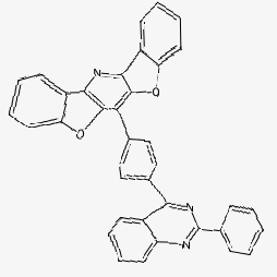 c1ccc(-c2nc(-c3ccc(-c4c5oc6ccccc6c5nc5c4oc4ccccc45)cc3)c3ccccc3n2)cc1